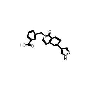 O=C(O)c1cccc(Cn2ccc3cc(-c4cn[nH]c4)ccc3c2=O)c1